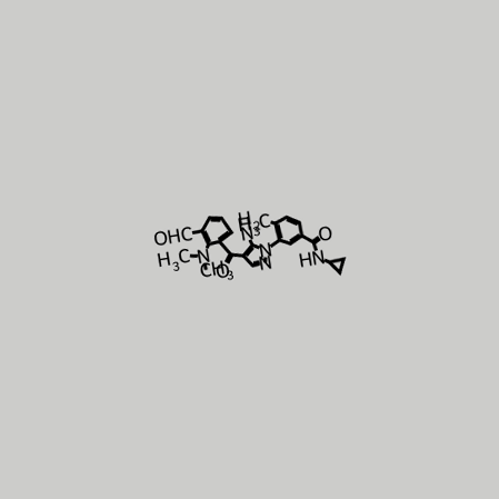 Cc1ccc(C(=O)NC2CC2)cc1-n1ncc(C(=O)c2cccc(C=O)c2N(C)C)c1N